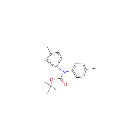 Cc1ccc(N(C(=O)OC(C)(C)C)c2ccc(C)cc2)cc1